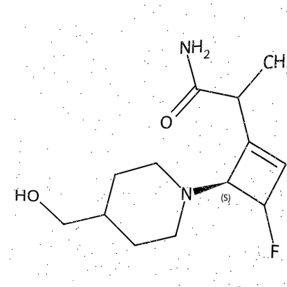 CC(C(N)=O)C1=CC(F)[C@H]1N1CCC(CO)CC1